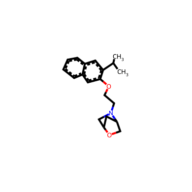 CC(C)c1cc2ccccc2cc1OCCN1CC2CC1CO2